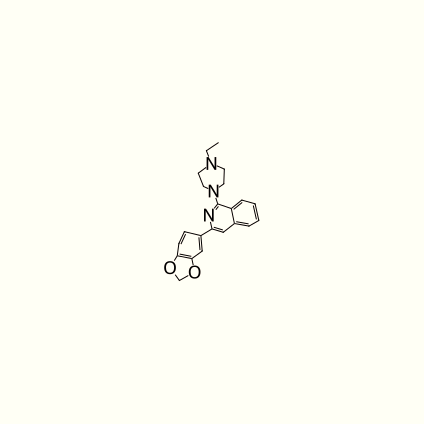 CCN1CCN(c2nc(-c3ccc4c(c3)OCO4)cc3ccccc23)CC1